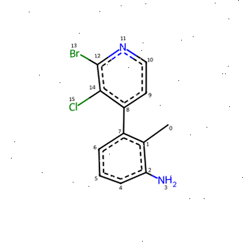 Cc1c(N)cccc1-c1ccnc(Br)c1Cl